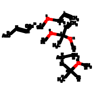 C=C[SiH2]OC(C)(C)C.C=C[Si](C)(OCC)OCC.CC(=O)OC=COC(C)=O.CC(=O)O[SiH3].CCC(C)(CC)O[SiH3]